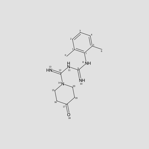 Cc1cccc(C)c1NC(=N)NC(=N)N1CCC(=O)CC1